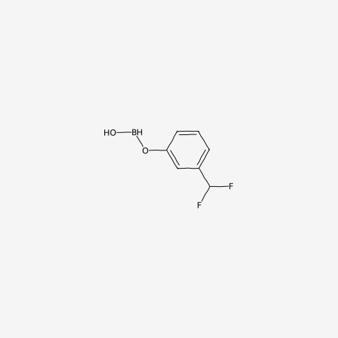 OBOc1cccc(C(F)F)c1